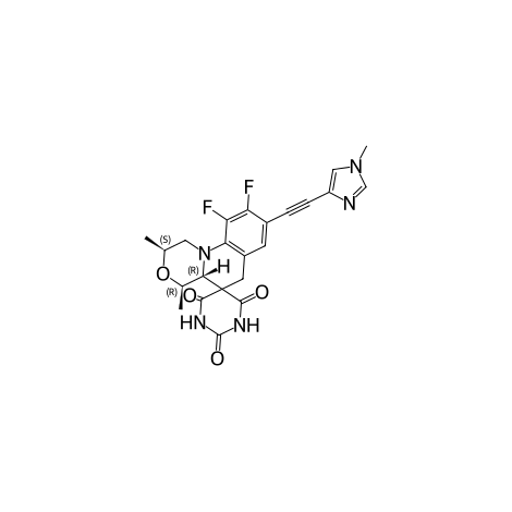 C[C@H]1CN2c3c(cc(C#Cc4cn(C)cn4)c(F)c3F)CC3(C(=O)NC(=O)NC3=O)[C@@H]2[C@@H](C)O1